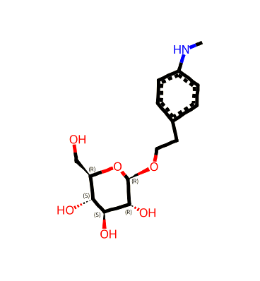 CNc1ccc(CCO[C@@H]2O[C@H](CO)[C@@H](O)[C@H](O)[C@H]2O)cc1